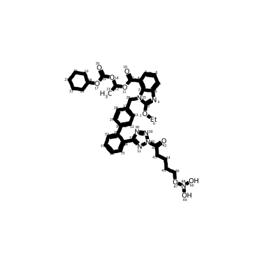 CCOc1nc2cccc(C(=O)OC(C)OC(=O)OC3CCCCC3)c2n1Cc1ccc(-c2ccccc2-c2nnn(C(=O)CCCCON(O)O)n2)cc1